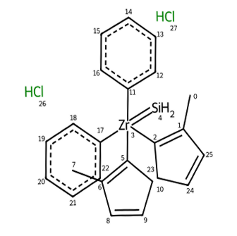 CC1=[C]([Zr](=[SiH2])([C]2=C(C)C=CC2)([c]2ccccc2)[c]2ccccc2)CC=C1.Cl.Cl